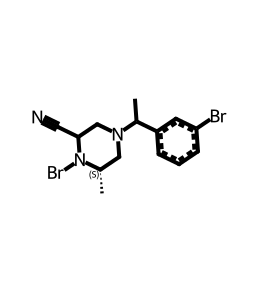 CC(c1cccc(Br)c1)N1CC(C#N)N(Br)[C@@H](C)C1